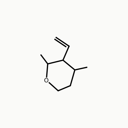 C=CC1C(C)CCOC1C